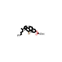 CCCCCCCCCCC(=O)O[C@H]1CC[C@@]2(C)C(=CC[C@H]3[C@@H]4CC[C@H](C(C)CCCC(C)C)[C@@]4(C)CC(Br)[C@@H]32)C1